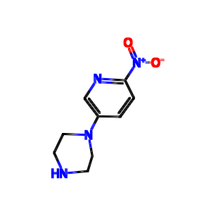 O=[N+]([O-])c1ccc(N2CCNCC2)cn1